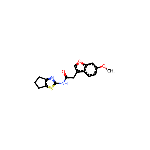 COc1ccc2c(CC(=O)Nc3nc4c(s3)CCC4)coc2c1